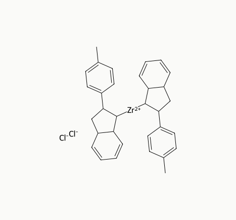 Cc1ccc(C2CC3C=CC=CC3[CH]2[Zr+2][CH]2C(c3ccc(C)cc3)CC3C=CC=CC32)cc1.[Cl-].[Cl-]